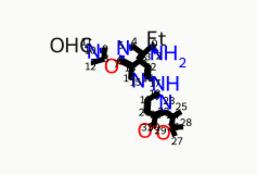 CCC(N)c1cnc(OC2CN(C=O)C2)c2cnc(Nc3ccc4c(n3)C(C)C(C)(C)OC4=O)cc12